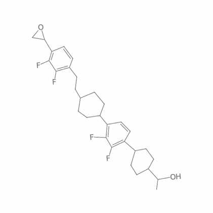 CC(O)C1CCC(c2ccc(C3CCC(CCc4ccc(C5CO5)c(F)c4F)CC3)c(F)c2F)CC1